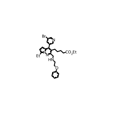 CCOC(=O)CCCCc1c(CNCCOc2ccccc2)nn2c(CC)ccc2c1-c1cncc(Br)c1